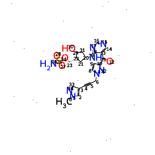 Cn1cc(C#CCn2ccc(C(=O)c3cncnc3N[C@@H]3C[C@H](COS(N)(=O)=O)[C@@H](O)C3)n2)cn1